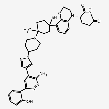 CC1(N2CCC(n3cc(-c4cc(-c5ccccc5O)nnc4N)cn3)CC2)CCC(S)(c2cccc3c2OCCN3[C@H]2CCC(=O)NC2=O)CC1